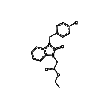 CCOC(=O)Cn1c(=O)n(Cc2ccc(Cl)cc2)c2ccccc21